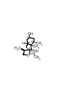 C=C1CO[C@@H](OC)[C@]12C[C@@H]1C[C@@H](O)C[C@@H](C)[C@]1(C)[C@H]2O